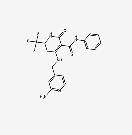 Nc1cc(CNC2=C(C(=S)Nc3ccccc3)C(=O)NC(C(F)(F)F)C2)ccn1